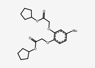 CC(C)(C)c1ccc(OCC(=O)OC2CCCC2)c(OCC(=O)OC2CCCC2)c1